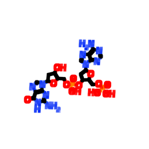 Nc1nc2c(ncn2C2CC(O)C(COP(=O)(O)OC3CC(n4cnc5c(N)ncnc54)OC3COP(=O)(O)O)O2)c(=O)[nH]1